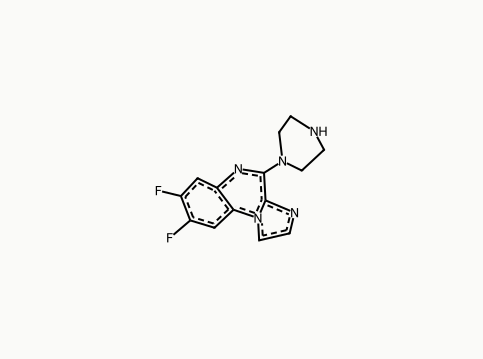 Fc1cc2nc(N3CCNCC3)c3nccn3c2cc1F